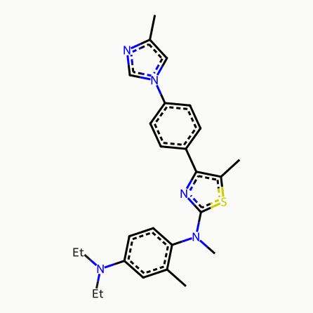 CCN(CC)c1ccc(N(C)c2nc(-c3ccc(-n4cnc(C)c4)cc3)c(C)s2)c(C)c1